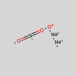 O=[Si]=O.[Na+].[Na+].[O-2]